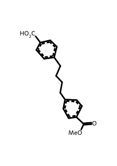 COC(=O)c1ccc(CCCCc2ccc(C(=O)O)cc2)cc1